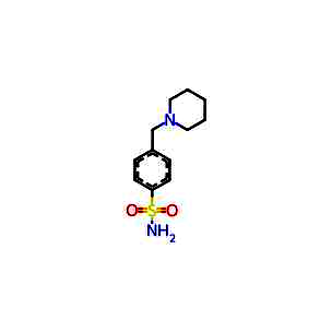 NS(=O)(=O)c1ccc(CN2CCCCC2)cc1